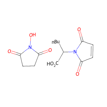 CCCCC(C(=O)O)N1C(=O)C=CC1=O.O=C1CCC(=O)N1O